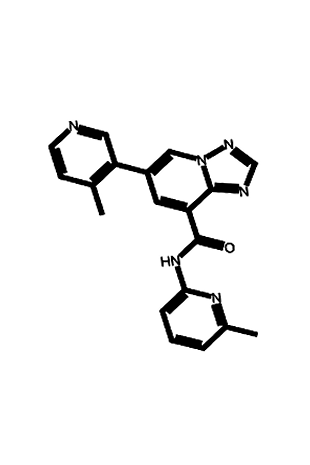 Cc1cccc(NC(=O)c2cc(-c3cnccc3C)cn3ncnc23)n1